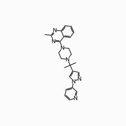 Cc1nc(N2CCN(C(C)(C)c3cnn(-c4cccnc4)c3)CC2)c2ccccc2n1